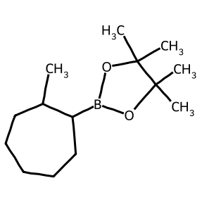 CC1CCCCCC1B1OC(C)(C)C(C)(C)O1